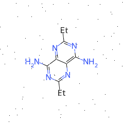 CCc1nc(N)c2nc(CC)nc(N)c2n1